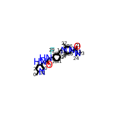 Cc1ccc(NC(=O)Nc2cccc(CN3[C@H](C)CN(C(=O)N(C)C)C[C@@H]3C)c2F)cn1